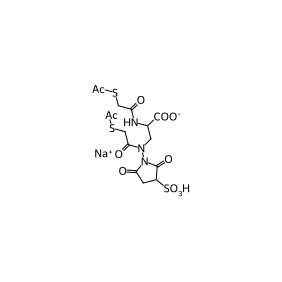 CC(=O)SCC(=O)NC(CN(C(=O)CSC(C)=O)N1C(=O)CC(S(=O)(=O)O)C1=O)C(=O)[O-].[Na+]